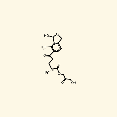 Cc1c(C(=O)CC[C@H](C(=O)OCC(=O)CO)C(C)C)ccc2c1B(O)OC2